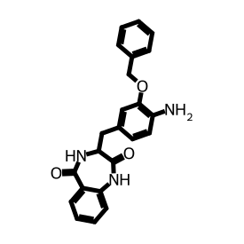 Nc1ccc(CC2NC(=O)c3ccccc3NC2=O)cc1OCc1ccccc1